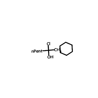 C1CCCCC1.CCCCCC(C)(O)Cl